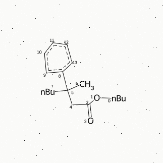 CCCCOC(=O)CC(C)(CCCC)c1ccccc1